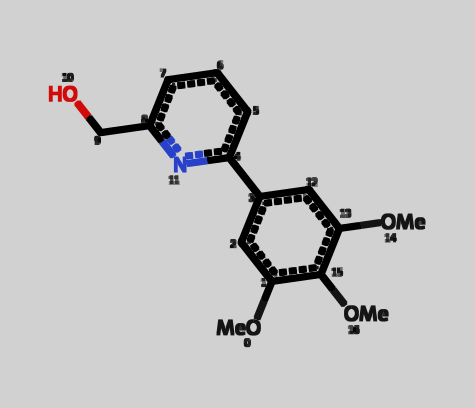 COc1cc(-c2cccc(CO)n2)cc(OC)c1OC